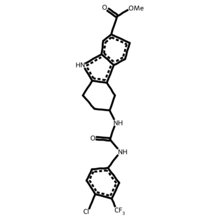 COC(=O)c1ccc2c3c([nH]c2c1)CCC(NC(=O)Nc1ccc(Cl)c(C(F)(F)F)c1)C3